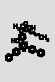 CCCCCCCC(C)(Oc1ccc(-c2nc(-c3ccc(-c4ccccc4)cc3)nc(-c3ccc(-c4ccccc4)cc3)n2)c(O)c1)C(=O)O